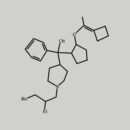 CCC(C)CC(CC)CN1CCC(C(C#N)(c2ccccc2)C2CCCC2OC(C)=C2CCC2)CC1